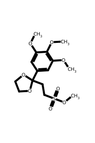 COc1cc(C2(CCS(=O)(=O)OC)OCCO2)cc(OC)c1OC